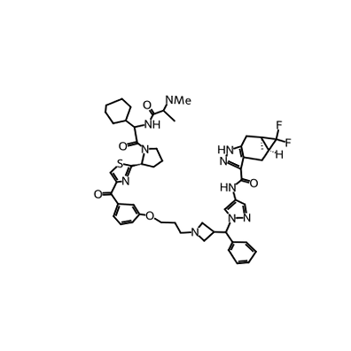 CNC(C)C(=O)NC(C(=O)N1CCC[C@H]1c1nc(C(=O)c2cccc(OCCCN3CC(C(c4ccccc4)n4cc(NC(=O)c5n[nH]c6c5C[C@@H]5C(F)(F)[C@]5(C)C6)cn4)C3)c2)cs1)C1CCCCC1